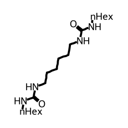 CCCCCCNC(=O)NCCCCCCNC(=O)NCCCCCC